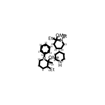 C1CCNCC1.CCC1CCCN(c2ccccc2)C1(C)OC.CCN1CCCCC1(CC)OC